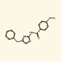 CC(=O)Nc1ccc(C(=O)Nc2ncc(Cc3ccccc3)s2)cc1